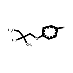 [CH2]CC(C)(O)COc1ccc(F)cc1